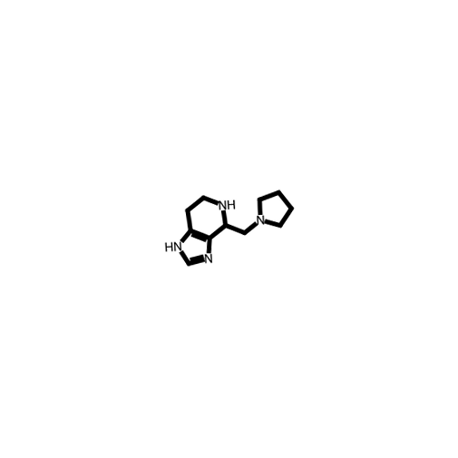 c1nc2c([nH]1)CCNC2CN1CCCC1